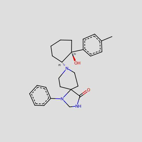 Cc1ccc([C@@]2(O)CCCC[C@H]2N2CCC3(CC2)C(=O)NCN3c2ccccc2)cc1